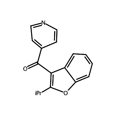 CC(C)c1oc2ccccc2c1C(=O)c1ccncc1